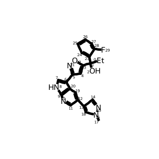 CCC(O)(c1cc(-c2c[nH]c3ncc(-c4cnn(C)c4)cc23)no1)c1ccccc1F